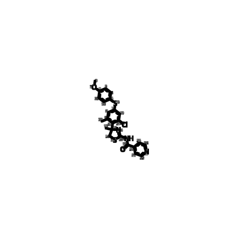 COc1ccc(Sc2cc(C)c(C3(C)CSC(NC(=O)c4ccncc4)=N3)c(Cl)c2)cc1